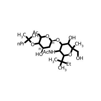 CCCC(C)(C)OC1C(C(C)=O)O[C@@H](OC2C(NC(C)=O)C(C(C)(C)CC)OC(C)(CO)C2O)C[C@H]1O